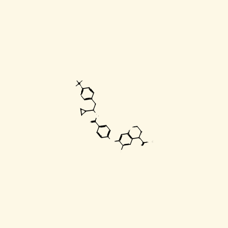 O=C(NC(Cc1ccc(C(F)(F)F)cc1)C1CC1)c1ccc(Oc2cc3c(cc2Cl)C(C(=O)O)CCO3)cc1